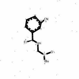 CC[C@H](NC[S+]([O-])C(C)(C)C)c1cccc(C#N)c1